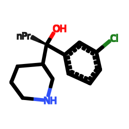 CCC[C@@](O)(c1cccc(Cl)c1)C1CCCNC1